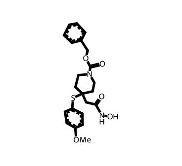 COc1ccc(SC2(CC(=O)NO)CCN(C(=O)OCc3ccccc3)CC2)cc1